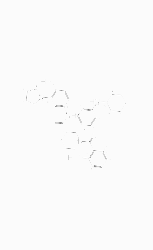 Cc1ccc(NC(=O)[C@H]2CCCN(C(=O)c3c(C)cccc3F)[C@H]2c2ccc(NC3CCCCC3)cc2)cc1N1CCCC1